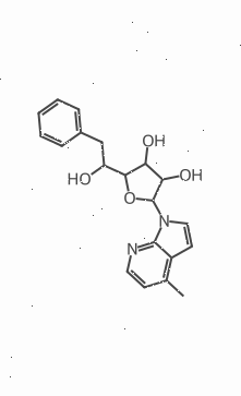 Cc1ccnc2c1ccn2C1OC(C(O)Cc2ccccc2)C(O)C1O